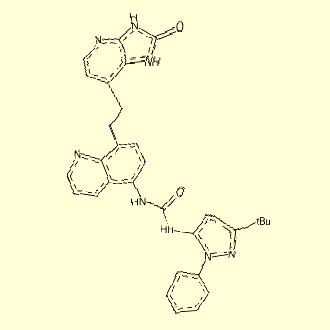 CC(C)(C)c1cc(NC(=O)Nc2ccc(CCc3ccnc4[nH]c(=O)[nH]c34)c3ncccc23)n(-c2ccccc2)n1